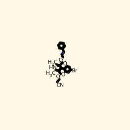 CC1=C(C(=O)OC/C=C/c2ccccc2)C(c2ccc(Br)cc2)C(C(=O)OCCC#N)=C(C)N1